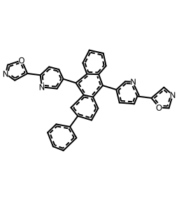 c1ccc(-c2ccc3c(-c4ccc(-c5cnco5)nc4)c4ccccc4c(-c4ccc(-c5cnco5)nc4)c3c2)cc1